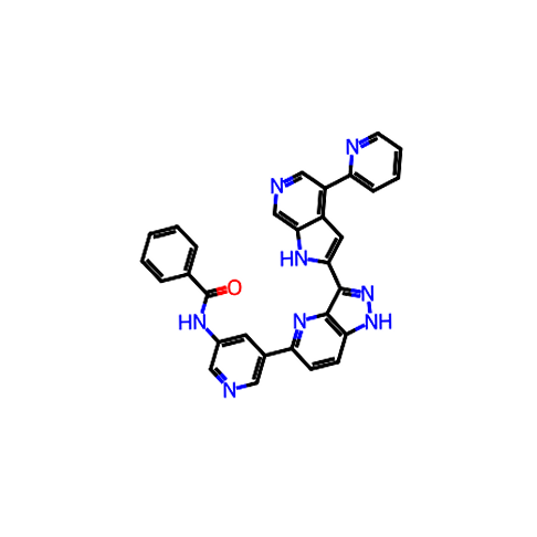 O=C(Nc1cncc(-c2ccc3[nH]nc(-c4cc5c(-c6ccccn6)cncc5[nH]4)c3n2)c1)c1ccccc1